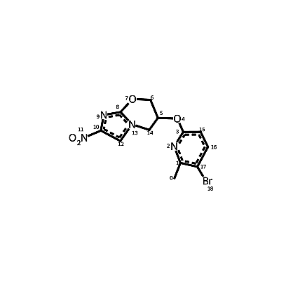 Cc1nc(OC2COc3nc([N+](=O)[O-])cn3C2)ccc1Br